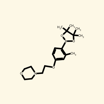 Cc1cc(OCCN2CCOCC2)ccc1B1OC(C)(C)C(C)(C)O1